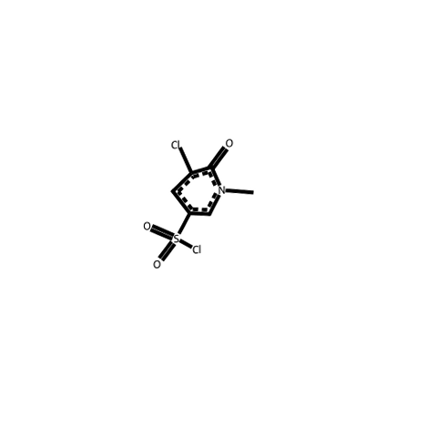 Cn1cc(S(=O)(=O)Cl)cc(Cl)c1=O